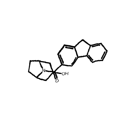 O=C(c1ccc2c(c1)-c1ccccc1C2)N1C2CCC1CC(O)C2